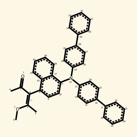 CO/C(C)=C(\C(C)=O)c1ccc(N(c2ccc(-c3ccccc3)cc2)c2ccc(-c3ccccc3)cc2)c2ccccc12